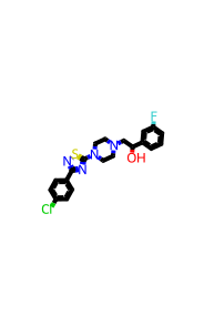 OC(CN1CCN(c2nc(-c3ccc(Cl)cc3)ns2)CC1)c1cccc(F)c1